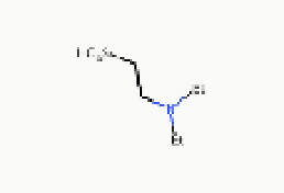 CCN(CC)CCS(=O)(=O)O